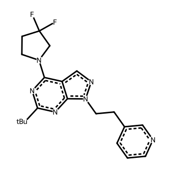 CC(C)(C)c1nc(N2CCC(F)(F)C2)c2cnn(CCc3cccnc3)c2n1